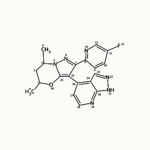 CC1CC(C)n2nc(-c3ccc(F)cn3)c(-c3ccnc4[nH]ncc34)c2O1